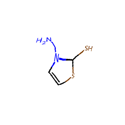 NN1C=CSC1S